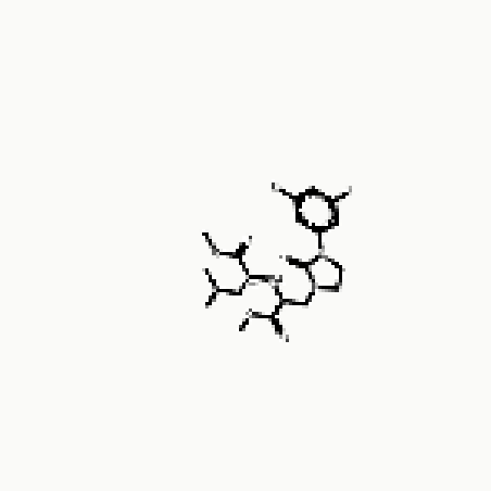 COC(=O)C(CN1CCN(c2cc(F)cc(F)c2)C1=O)N[C@@H](CC(C)C)C(=O)OC